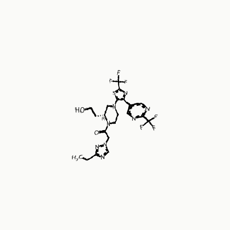 CCc1ncn(CC(=O)N2CCN(c3sc(C(F)(F)F)nc3-c3cnc(C(F)(F)F)nc3)C[C@H]2CCO)n1